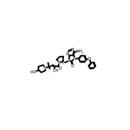 CC(C)(C=C(C#N)C(=O)N1CCC[C@H]1Cn1c(=O)n(-c2ccc(Oc3ccccc3)cc2)c2c(N)ncnc21)N1CCC(O)CC1